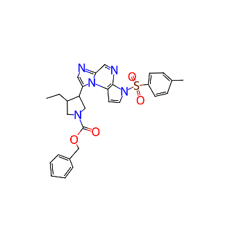 CCC1CN(C(=O)OCc2ccccc2)CC1c1cnc2cnc3c(ccn3S(=O)(=O)c3ccc(C)cc3)n12